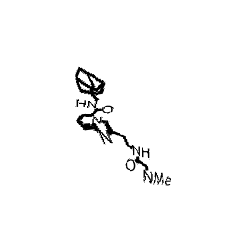 CNCC(=O)NCCc1cn2c(C(=O)NCC34CC5CC(CC(C5)C3)C4)cccc2n1